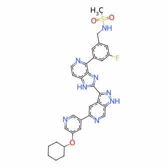 CS(=O)(=O)NCc1cc(F)cc(-c2nccc3[nH]c(-c4n[nH]c5cnc(-c6cncc(OC7CCCCC7)c6)cc45)nc23)c1